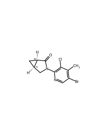 Cc1c(Br)cnc(N2C[C@H]3C[C@H]3C2=O)c1Cl